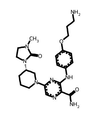 CN1CCN([C@H]2CCCN(c3cnc(C(N)=O)c(Nc4ccc(OCCCN)cc4)n3)C2)C1=O